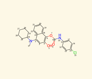 CN(c1cc(O)c(OC(=O)Nc2ccc(Cl)cc2)c2ccccc12)C1CCCCC1